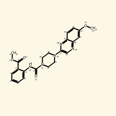 COC(=O)c1ccccc1NC(=O)N1CCN(c2cnc3cc(OC)ccc3n2)CC1